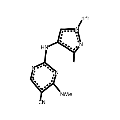 CCCn1cc(Nc2ncc(C#N)c(NC)n2)c(C)n1